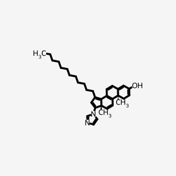 CCCCCCCCCCCCC1=C2C3=C(C=C[C@]2(C)C(n2ccnc2)=C1)[C@]1(C)CC=C(O)C=C1C=C3